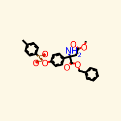 COC(=O)CC(N)(C(=O)OCc1ccccc1)c1ccc(OS(=O)(=O)c2ccc(C)cc2)cc1